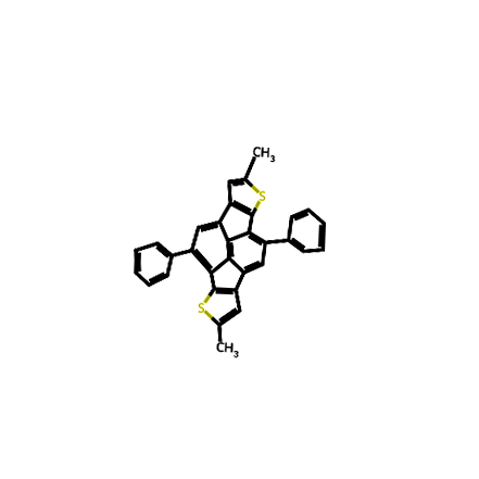 Cc1cc2c(s1)-c1c(-c3ccccc3)cc3c4c(c(-c5ccccc5)cc-2c14)-c1sc(C)cc1-3